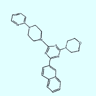 c1ccc(N2CCN(c3nc(-c4ccc5ccccc5c4)nc(N4CCOCC4)n3)CC2)nc1